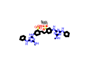 CNc1nc(Nc2ccccc2)nc(Nc2ccc(C=Cc3ccc(Nc4nc(NC)nc(Nc5ccccc5)n4)cc3S(=O)(=O)O)c(S(=O)(=O)O)c2)n1.[NaH].[NaH]